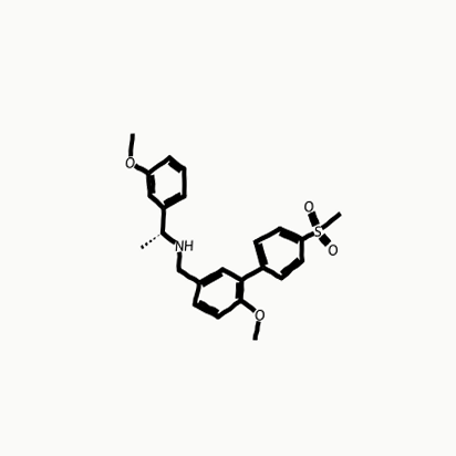 COc1cccc([C@@H](C)NCc2ccc(OC)c(-c3ccc(S(C)(=O)=O)cc3)c2)c1